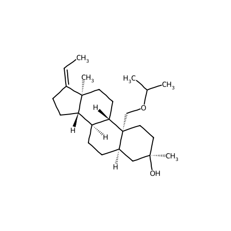 C/C=C1/CC[C@H]2[C@@H]3CC[C@@H]4C[C@](C)(O)CC[C@]4(COC(C)C)[C@H]3CC[C@]12C